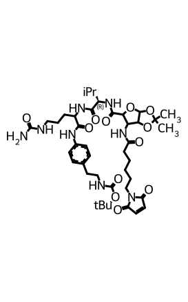 CC(C)[C@@H](NC(=O)C1OC2OC(C)(C)OC2C1NC(=O)CCCCCN1C(=O)C=CC1=O)C(=O)NC(CCCNC(N)=O)C(=O)Nc1ccc(CCNC(=O)OC(C)(C)C)cc1